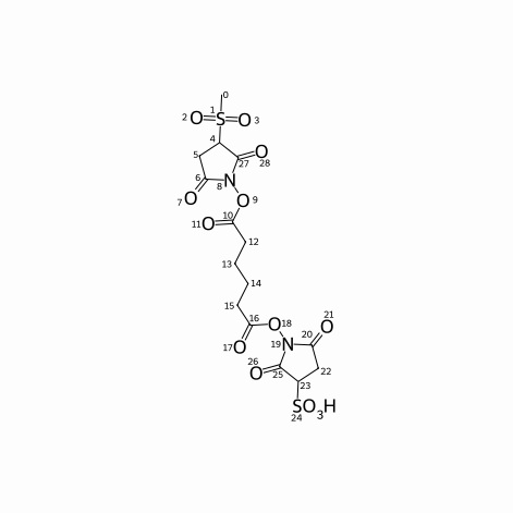 CS(=O)(=O)C1CC(=O)N(OC(=O)CCCCC(=O)ON2C(=O)CC(S(=O)(=O)O)C2=O)C1=O